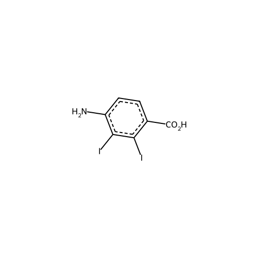 Nc1ccc(C(=O)O)c(I)c1I